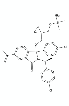 C=C(C)c1ccc2c(c1)C(=O)N([C@@H](C)c1ccc(Cl)cc1)C2(OCC1(CO[Si](C)(C)C(C)(C)C)CC1)c1ccc(Cl)cc1